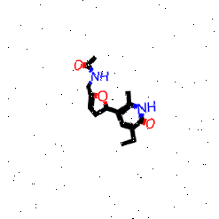 CCc1cc(C2CC=C(CNC(C)=O)O2)c(C)[nH]c1=O